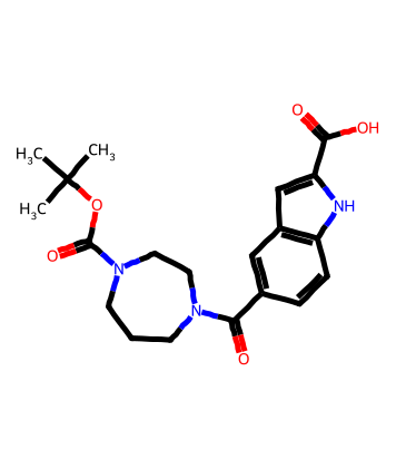 CC(C)(C)OC(=O)N1CCCN(C(=O)c2ccc3[nH]c(C(=O)O)cc3c2)CC1